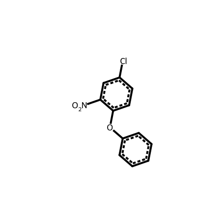 O=[N+]([O-])c1cc(Cl)ccc1Oc1ccccc1